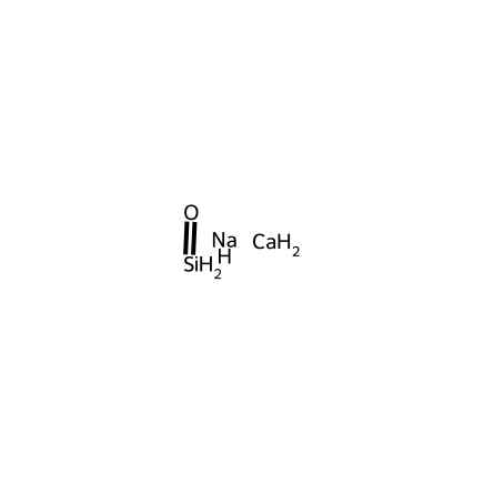 O=[SiH2].[CaH2].[NaH]